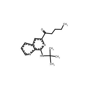 CCCCC(=O)c1cc2cccnc2c(NC(C)(C)C)n1